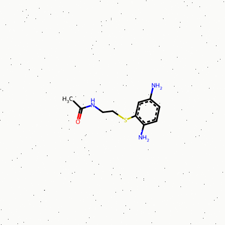 CC(=O)NCCSc1cc(N)ccc1N